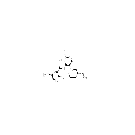 NCC1CCCN(c2cnc(=O)[nH]c2NC(=O)c2nc(Br)cnc2N)C1